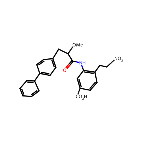 COC(Cc1ccc(-c2ccccc2)cc1)C(=O)Nc1cc(C(=O)O)ccc1CC[N+](=O)[O-]